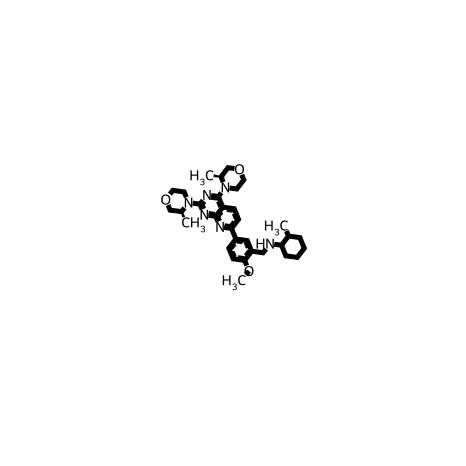 COc1ccc(-c2ccc3c(N4CCOC[C@@H]4C)nc(N4CCOC[C@@H]4C)nc3n2)cc1CNC1CCCCC1C